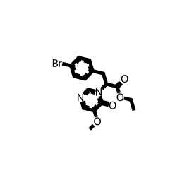 CCOC(=O)C(Cc1ccc(Br)cc1)n1cncc(OC)c1=O